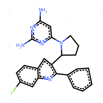 Nc1cc(N2CCCC2c2cc3ccc(F)cc3nc2-c2ccccc2)nc(N)n1